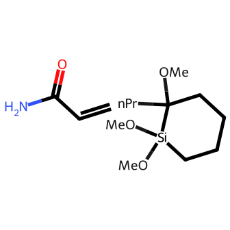 C=CC(N)=O.CCCC1(OC)CCCC[Si]1(OC)OC